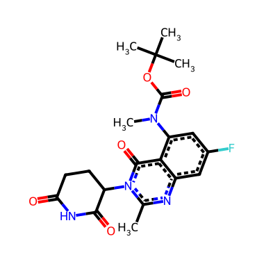 Cc1nc2cc(F)cc(N(C)C(=O)OC(C)(C)C)c2c(=O)n1C1CCC(=O)NC1=O